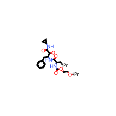 CC(C)CC(NC(=O)OCCOC(C)C)C(=O)NC(Cc1ccccc1)C(=O)C(=O)NC1CC1